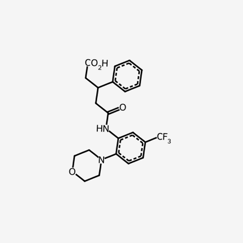 O=C(O)CC(CC(=O)Nc1cc(C(F)(F)F)ccc1N1CCOCC1)c1ccccc1